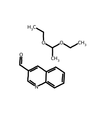 CCOC(C)OCC.O=Cc1cnc2ccccc2c1